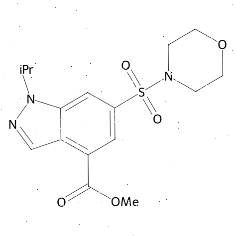 COC(=O)c1cc(S(=O)(=O)N2CCOCC2)cc2c1cnn2C(C)C